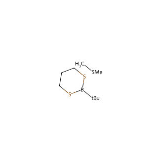 CC(C)(C)B1SCCCS1.CSC